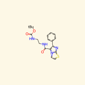 CC(C)(C)OC(=O)NCCNC(=O)c1c(-c2ccccc2)nc2sccn12